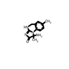 Cc1ccc2c(c1)CNC1=NC(=O)C(C)(N)N12